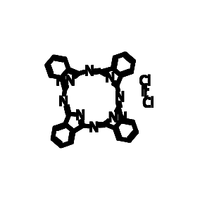 [Cl][Ir][Cl].c1ccc2c(c1)-c1nc-2nc2[nH]c(nc3nc(nc4[nH]c(n1)c1ccccc41)-c1ccccc1-3)c1ccccc21